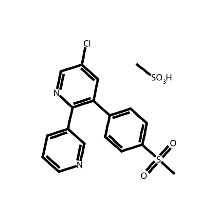 CS(=O)(=O)O.CS(=O)(=O)c1ccc(-c2cc(Cl)cnc2-c2cccnc2)cc1